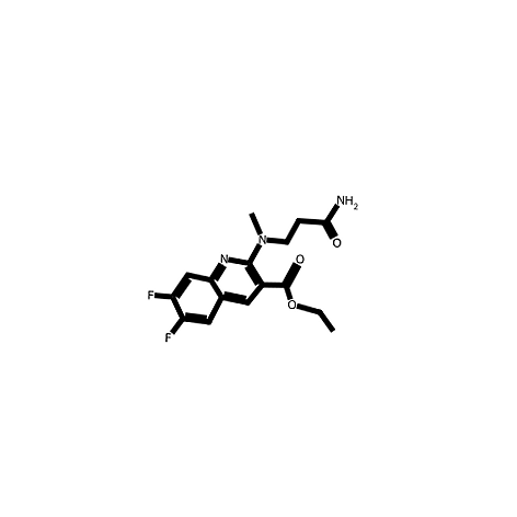 CCOC(=O)c1cc2cc(F)c(F)cc2nc1N(C)CCC(N)=O